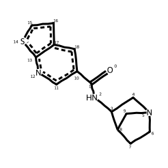 O=C(NC1CN2CCC1C2)c1cnc2sccc2c1